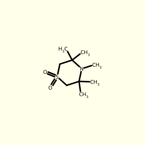 CN1C(C)(C)CS(=O)(=O)CC1(C)C